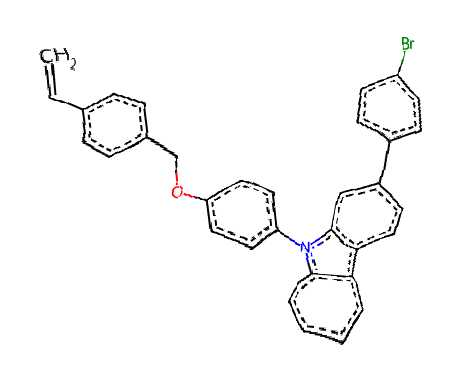 C=Cc1ccc(COc2ccc(-n3c4ccccc4c4ccc(-c5ccc(Br)cc5)cc43)cc2)cc1